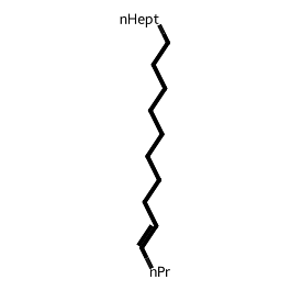 [CH2]CCCCCCCCCCCCCC/C=C/CCC